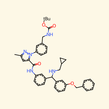 Cc1cc(C(=O)Nc2cccc(C(NCC3CC3)c3cccc(OCc4ccccc4)c3)c2)n(-c2cccc(CNC(=O)OC(C)(C)C)c2)n1